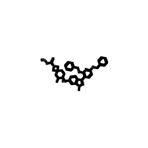 CC1CC2(CCC1Nc1ccc3c(-c4ccc(OCc5ccccc5)nc4OCc4ccccc4)nn(C)c3c1)CN(C(=O)OC(C)(C)C)C2